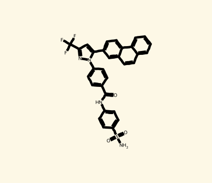 NS(=O)(=O)c1ccc(NC(=O)c2ccc(-n3nc(C(F)(F)F)cc3-c3ccc4c(ccc5ccccc54)c3)cc2)cc1